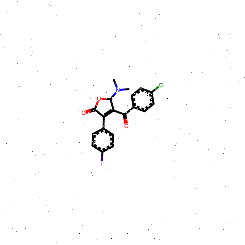 CN(C)C1OC(=O)C(c2ccc(I)cc2)=C1C(=O)c1ccc(Cl)cc1